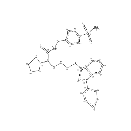 NS(=O)(=O)c1ccc(CNC(=O)C(CCCCn2cc(-c3ccccc3)c3cccnc32)C2CCCC2)cc1